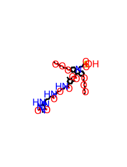 COCCOCCOc1ccc2c(c1)c(C(=O)Oc1c(C)cc(C(=O)NCCOCCNC(=O)CCCc3nc4c(=O)n(C)c(=O)n(C)c4[nH]3)cc1C)c1cc(OCCOCCOC)ccc1[n+]2CCCS(=O)(=O)O